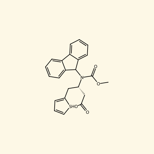 COC(=O)N(C1c2ccccc2-c2ccccc21)[C@H](CC(=O)O)Cc1cccs1